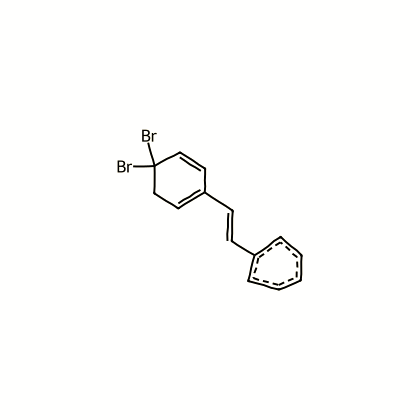 BrC1(Br)C=CC(C=Cc2ccccc2)=CC1